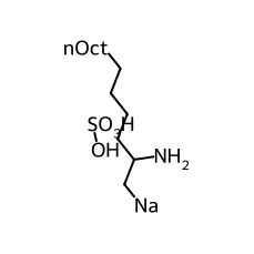 CCCCCCCCCCCCC(N)[CH2][Na].O=S(=O)(O)O